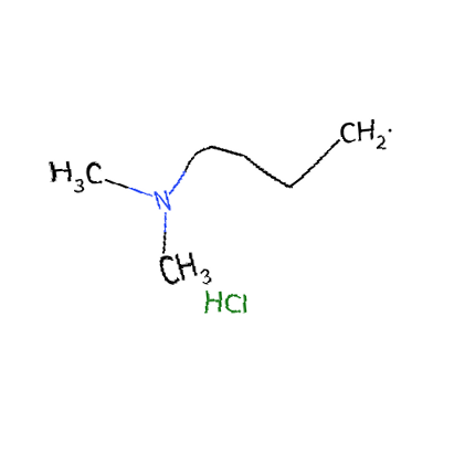 Cl.[CH2]CCN(C)C